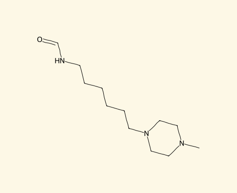 CN1CCN(CCCCCCNC=O)CC1